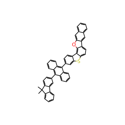 CC1(C)c2ccccc2-c2cc(-c3c4ccccc4c(-c4ccc5c(c4)sc4ccc6c7cc8ccccc8cc7oc6c45)c4ccccc34)ccc21